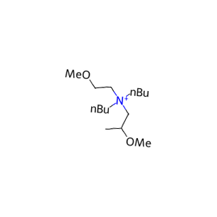 CCCC[N+](CCCC)(CCOC)CC(C)OC